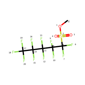 [CH2]OS(=O)(=O)C(F)(F)C(F)(F)C(F)(F)C(F)(F)C(F)(F)F